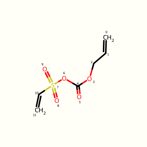 C=CCOC(=O)OS(=O)(=O)C=C